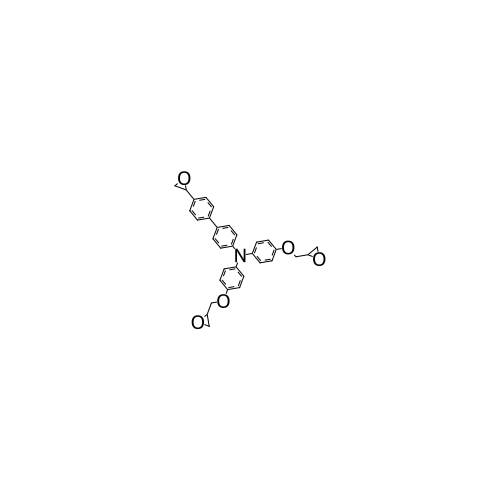 c1cc(N(c2ccc(OCC3CO3)cc2)c2ccc(-c3ccc(C4CO4)cc3)cc2)ccc1OCC1CO1